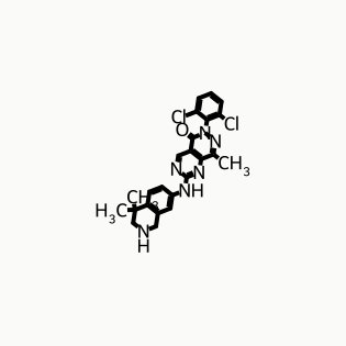 Cc1nn(-c2c(Cl)cccc2Cl)c(=O)c2cnc(Nc3ccc4c(c3)CNCC4(C)C)nc12